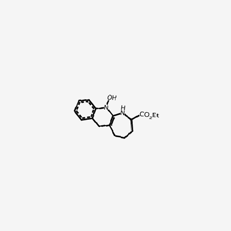 CCOC(=O)C1CCCC2=C(N1)N(O)c1ccccc1C2